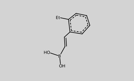 CCc1ccccc1C=CB(O)O